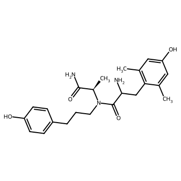 Cc1cc(O)cc(C)c1CC(N)C(=O)N(CCCc1ccc(O)cc1)[C@H](C)C(N)=O